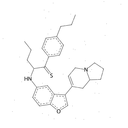 CCCc1ccc(C(=S)C(CCC)Nc2ccc3occ(C4=CCN5CCCC5C4)c3c2)cc1